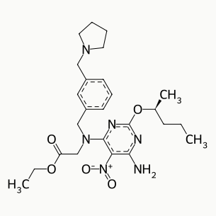 CCC[C@H](C)Oc1nc(N)c([N+](=O)[O-])c(N(CC(=O)OCC)Cc2cccc(CN3CCCC3)c2)n1